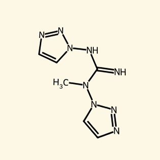 CN(C(=N)Nn1ccnn1)n1ccnn1